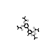 C=C(C)C(=O)Oc1ccc(-c2cc(C)c(OC(=O)C(=C)C)c(OC(=O)C(=C)C)c2)cc1OC(=O)C(=C)C